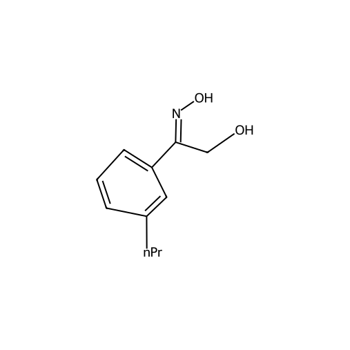 CCCc1cccc(C(CO)=NO)c1